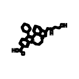 O=C(O)c1ccc2c(C3CCCCC3)c3n(c2c1)CCCn1cc(CNCCO)c2cccc-3c21